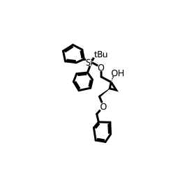 CC(C)(C)[Si](OC[C@@]1(O)C[C@H]1COCc1ccccc1)(c1ccccc1)c1ccccc1